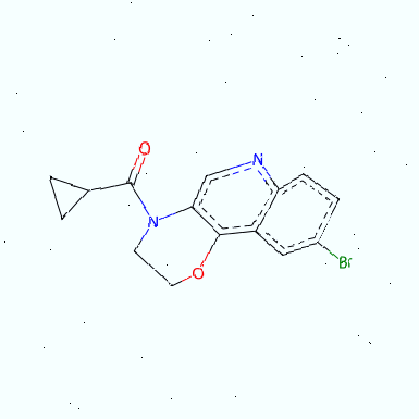 O=C(C1CC1)N1CCOc2c1cnc1ccc(Br)cc21